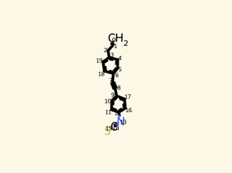 C=CCc1ccc(C#Cc2ccc(N=C=S)cc2)cc1